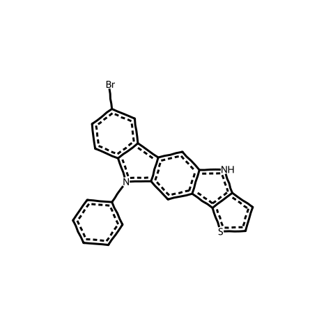 Brc1ccc2c(c1)c1cc3[nH]c4ccsc4c3cc1n2-c1ccccc1